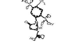 Cc1cc(S(=O)(=O)O)c(-n2[nH]c(C(=O)O)cc2=O)cc1S(=O)(=O)O